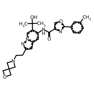 Cc1cccc(-c2nc(C(=O)Nc3cc4cc(CCN5CC6(COC6)C5)nn4cc3C(C)(C)O)co2)c1